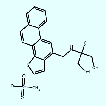 CC(CO)(CO)NCc1cc2c3ccccc3ccc2c2sccc12.CS(=O)(=O)O